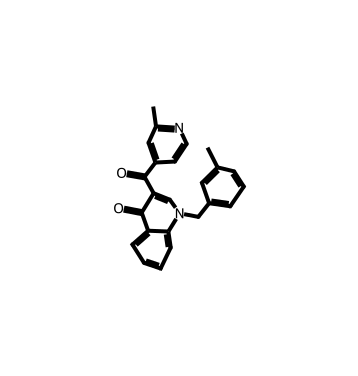 Cc1cccc(Cn2cc(C(=O)c3ccnc(C)c3)c(=O)c3ccccc32)c1